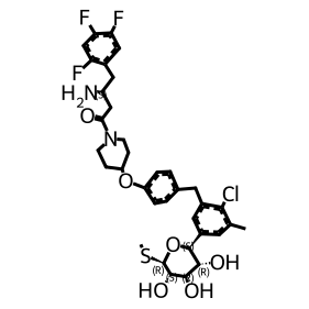 CS[C@H]1O[C@@H](c2cc(C)c(Cl)c(Cc3ccc(OC4CCN(C(=O)C[C@@H](N)Cc5cc(F)c(F)cc5F)CC4)cc3)c2)[C@H](O)[C@@H](O)[C@@H]1O